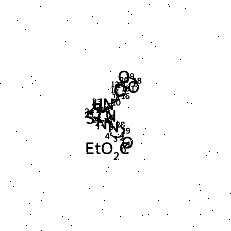 CCOC(=O)OC1CCN(c2nc(NCc3ccc4c(c3)OCCO4)c3c(C)csc3n2)CC1